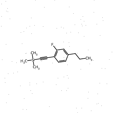 CCCc1ccc(C#C[Si](C)(C)C)c(F)c1